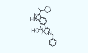 CC(c1n[nH]c2cc([C@@H]3CN(Cc4ccccc4)C[C@@]3(C)[C@H](C)O)ccc12)C1CCCC1